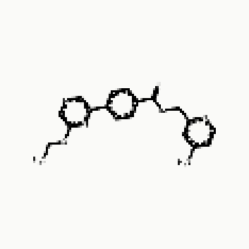 CCOc1cncc(-c2ccc(C(=O)NCc3cc(N)ccn3)cc2)n1